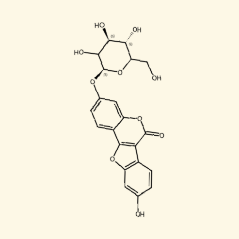 O=c1oc2cc(O[C@@H]3OC(CO)[C@@H](O)[C@H](O)C3O)ccc2c2oc3cc(O)ccc3c12